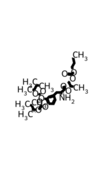 CCCCOC(=O)OCC(C)OC(=O)[C@@H](N)Cc1ccc(OC(=O)O[C@@H](C)C(C)C)c(OC(=O)OC(C)C(C)C)c1